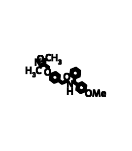 COc1ccc(C(NC(=O)Cc2ccc(OCc3c(C)noc3C)cc2)c2ccccc2)cc1